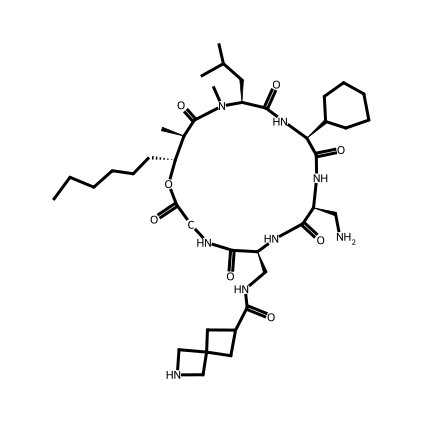 CCCCCC[C@H]1OC(=O)CNC(=O)[C@H](CNC(=O)C2CC3(CNC3)C2)NC(=O)[C@H](CN)NC(=O)[C@H](C2CCCCC2)NC(=O)[C@H](CC(C)C)N(C)C(=O)[C@@H]1C